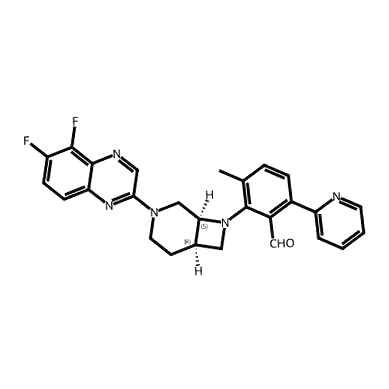 Cc1ccc(-c2ccccn2)c(C=O)c1N1C[C@H]2CCN(c3cnc4c(F)c(F)ccc4n3)C[C@H]21